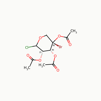 CC(=O)O[C@@H]1C(Cl)O[CH][C@](Br)(OC(C)=O)[C@@H]1OC(C)=O